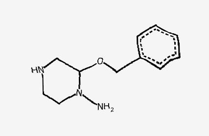 NN1CCNCC1OCc1ccccc1